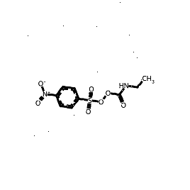 CCNC(=O)OOS(=O)(=O)c1ccc([N+](=O)[O-])cc1